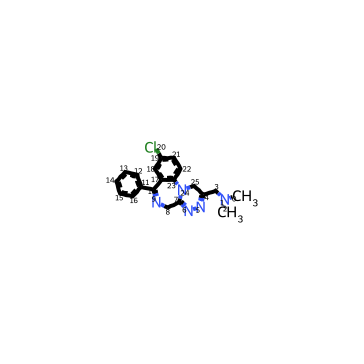 CN(C)CC1=NN=C2CN=C(c3ccccc3)c3cc(Cl)ccc3N2C1